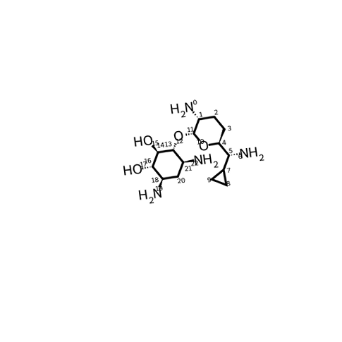 N[C@@H]1CC[C@@H]([C@H](N)C2CC2)O[C@@H]1O[C@H]1[C@H](O)[C@@H](O)[C@H](N)C[C@@H]1N